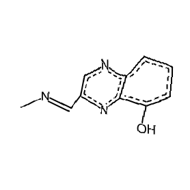 C/N=C/c1cnc2cccc(O)c2n1